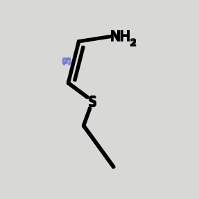 CCS/C=C\N